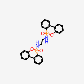 O=P1(NCCNP2(=O)Oc3ccccc3-c3ccccc32)Oc2ccccc2-c2ccccc21